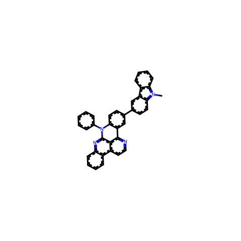 Cn1c2ccccc2c2cc(-c3ccc4c(c3)-c3nccc5c3c(nc3ccccc35)N4c3ccccc3)ccc21